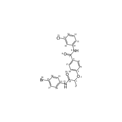 CC(Oc1ccc(C(=O)Nc2cccc(Cl)c2)cc1)C(=O)Nc1ccc(Br)cc1